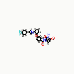 O=C1NC(=O)C2(N3Cc4cc(O[C@@H]5CCC[C@@H]5N5CC(C6CCC(F)(F)CC6)C5)ccc4C3=O)CC1C2